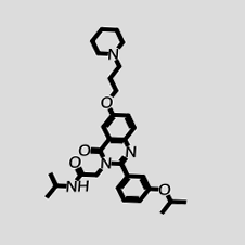 CC(C)NC(=O)Cn1c(-c2cccc(OC(C)C)c2)nc2ccc(OCCCN3CCCCC3)cc2c1=O